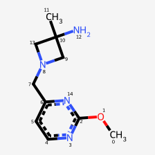 COc1nccc(CN2CC(C)(N)C2)n1